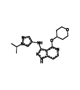 CC(C)n1cc(Nc2n[nH]c3ccnc(OC4CCOCC4)c23)cn1